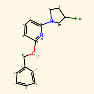 FC1CCN(c2cccc(OCc3ccccc3)n2)C1